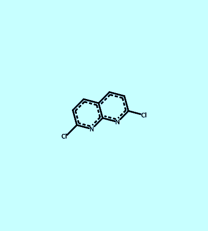 Clc1ccc2ccc(Cl)nc2n1